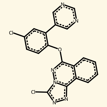 Clc1ccc(Oc2nn3c(Cl)nnc3c3ccccc23)c(-c2cncnc2)c1